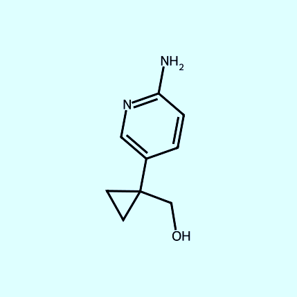 Nc1ccc(C2(CO)CC2)cn1